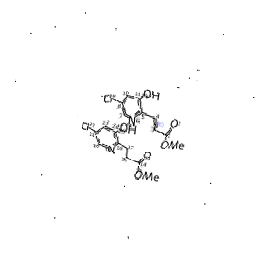 COC(=O)/C=C/c1ncc(Cl)cc1O.COC(=O)CCc1ncc(Cl)cc1O